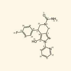 NC(=O)N1Cc2nn(-c3ccccn3)c(O)c2C(c2ccc(F)cc2)C1